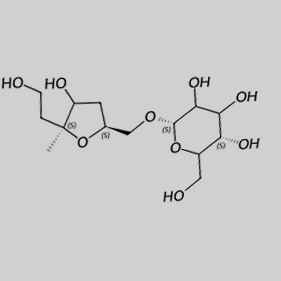 C[C@@]1(CCO)O[C@H](CO[C@H]2OC(CO)[C@@H](O)C(O)C2O)CC1O